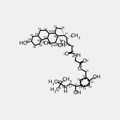 C[C@H](CCC(=O)NCC(=O)OCc1cc(C(O)CNC(C)(C)C)ccc1O)[C@H]1CCC2C3CCC4C[C@H](O)CC[C@]4(C)C3C[C@H](O)[C@@]21C